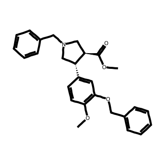 COC(=O)[C@@H]1CN(Cc2ccccc2)C[C@H]1c1ccc(OC)c(OCc2ccccc2)c1